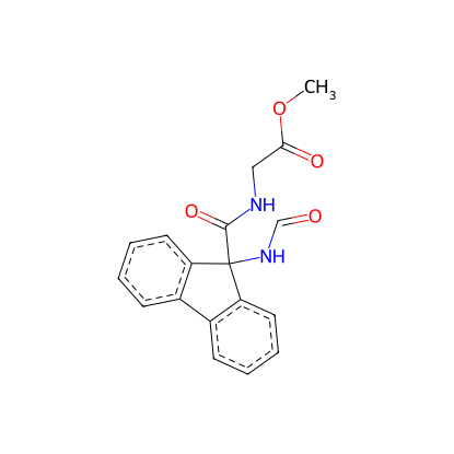 COC(=O)CNC(=O)C1(NC=O)c2ccccc2-c2ccccc21